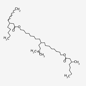 C=C=C=C=CC(CCCCC)CC(=O)OCCCCCCCCC(CCCCCCCCOC(=O)CC(C)CCCCC)CCN(C)C